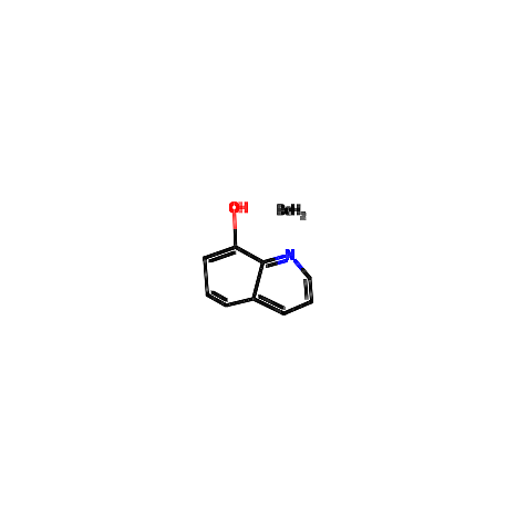 Oc1cccc2cccnc12.[BeH2]